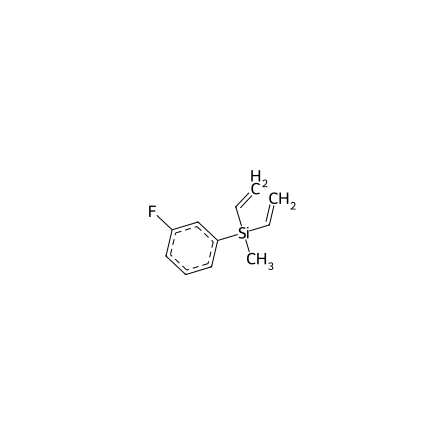 C=C[Si](C)(C=C)c1cccc(F)c1